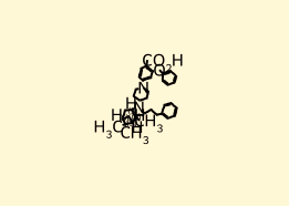 C[C@H]1[C@@H](N(CCCc2ccccc2)C2CCN(c3ccc(C(=O)O)c(Oc4ccccc4)c3)CC2)C[C@@H]2C[C@@H]1C2(C)C